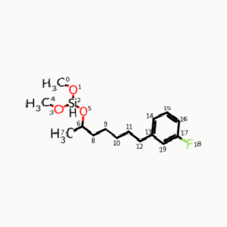 CO[SiH](OC)OC(C)CCCCCc1cccc(F)c1